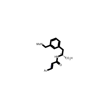 CNCc1cccc(C[C@@H](NC(=O)/C=C/C(C)=O)C(=O)O)c1